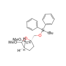 COC1O[C@@]2(CO[Si](c3ccccc3)(c3ccccc3)C(C)(C)C)CC[C@@H]1[C@@H]2OC